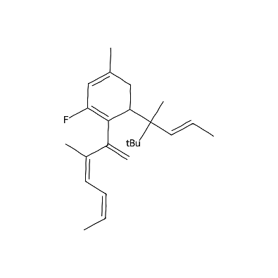 C=C(C1=C(F)C=C(C)CC1C(C)(C=CC)C(C)(C)C)/C(C)=C\C=C/C